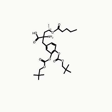 CCCCC(=O)O[C@@H](C)CC(N)(Cc1ccc(OC(=O)OCC(C)(C)C)c(OC(=O)OCC(C)(C)C)c1)C(=O)O